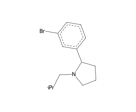 C[C](C)CN1CCCC1c1cccc(Br)c1